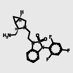 NC[C@@H]1C2C[C@H]2CN1CCN1c2ccccc2N(c2c(F)cc(F)cc2F)S1(=O)=O